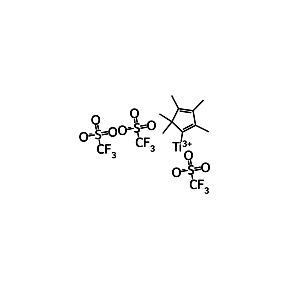 CC1=C(C)C(C)(C)[C]([Ti+3])=C1C.O=S(=O)([O-])C(F)(F)F.O=S(=O)([O-])C(F)(F)F.O=S(=O)([O-])C(F)(F)F